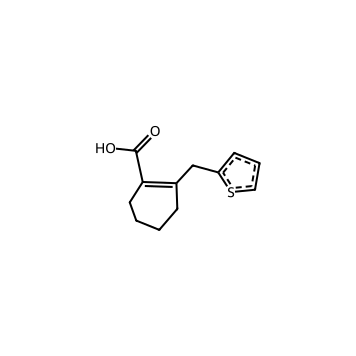 O=C(O)C1=C(Cc2cccs2)CCCC1